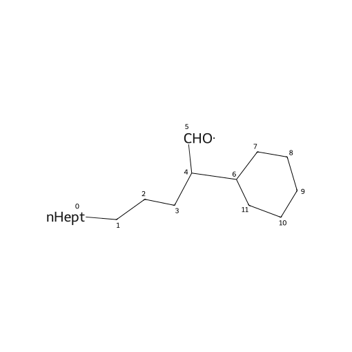 CCCCCCCCCCC([C]=O)C1CCCCC1